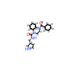 O=C(NC[C@H]1CCNC1)N1CCN(C(=O)c2ccccc2)c2ccccc21